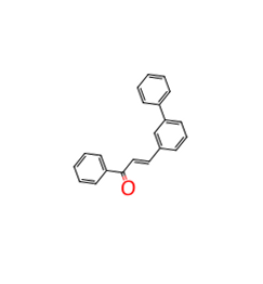 O=C(C=Cc1cccc(-c2ccccc2)c1)c1ccccc1